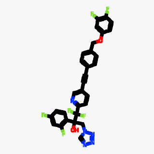 OC(Cn1cnnn1)(c1ccc(F)cc1F)C(F)(F)c1ccc(C#Cc2ccc(COc3ccc(F)c(F)c3)cc2)cn1